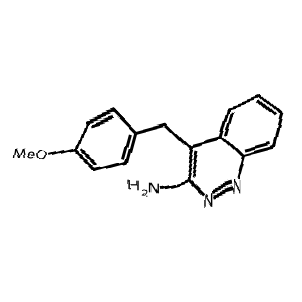 COc1ccc(Cc2c(N)nnc3ccccc23)cc1